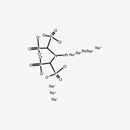 CCCN(C(P(=O)([O-])[O-])P(=O)([O-])[O-])C(P(=O)([O-])[O-])P(=O)([O-])[O-].[Na+].[Na+].[Na+].[Na+].[Na+].[Na+].[Na+].[Na+]